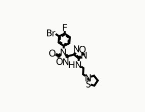 O=c1onc(-c2nonc2NCCN2CCCS2)n1-c1ccc(F)c(Br)c1